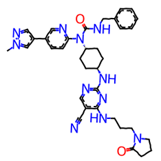 Cn1cc(-c2ccc(N(C(=O)NCc3ccccc3)[C@H]3CC[C@H](Nc4ncc(C#N)c(NCCCN5CCCC5=O)n4)CC3)nc2)cn1